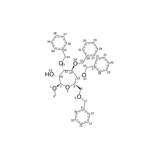 CO[C@@H]1O[C@H](COCc2ccccc2)[C@@H](OCc2ccccc2)[C@H](OCc2ccccc2)[C@@H](OCc2ccccc2)[C@H]1O